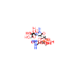 Cc1c[nH]c(=O)[nH]c1=O.Cc1cn([C@@H]2O[C@H](CO)[C@@H](O)[C@H]2O)c(=O)[nH]c1=O.O=P(O)(O)OP(=O)(O)O